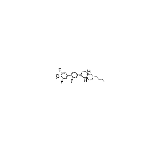 CCCCC1CC[C@@H]2C[C@H](c3ccc(-c4cc(F)c(OC)c(F)c4)c(F)c3)CC[C@@H]2C1